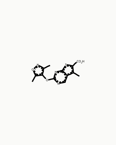 Cc1noc(C)c1Oc1ncc2c(C)c(C(=O)O)sc2n1